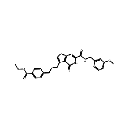 CCOC(=O)c1ccc(COCc2csc3nc(C(=O)NCc4cccc(OC)c4)[nH]c(=O)c23)cc1